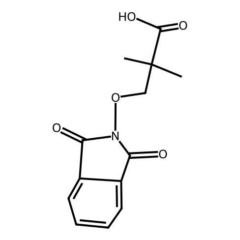 CC(C)(CON1C(=O)c2ccccc2C1=O)C(=O)O